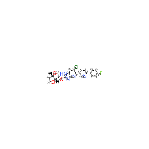 Fc1ccc(-c2ccc(-c3nc4nc(OC5CO[C@@H]6CCO[C@H]56)[nH]c4cc3Cl)cn2)cc1